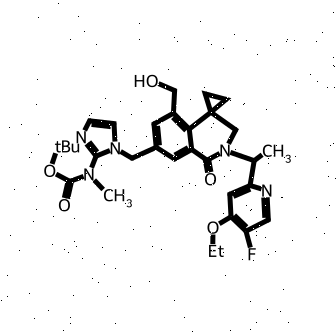 CCOc1cc(C(C)N2CC3(CC3)c3c(CO)cc(Cn4ccnc4N(C)C(=O)OC(C)(C)C)cc3C2=O)ncc1F